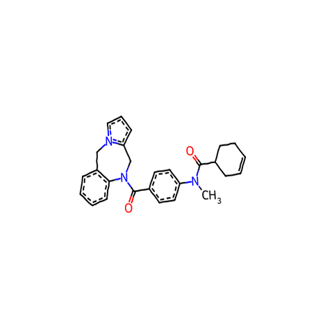 CN(C(=O)C1CC=CCC1)c1ccc(C(=O)N2Cc3cccn3Cc3ccccc32)cc1